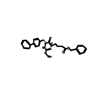 CC(C)(C)OC(=O)N[C@H](Cc1ccc(-c2ccccc2)cc1)C(=O)NCCCC(=O)OCc1ccccc1